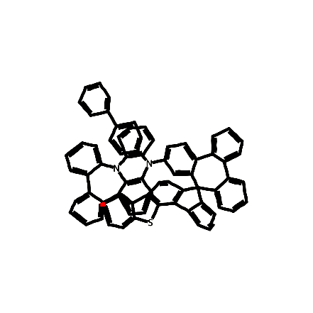 c1ccc(-c2ccc(N(c3ccc4c(c3)C3(c5ccccc5-c5ccccc5-4)c4ccccc4-c4c3ccc3c4sc4ccccc43)c3cccc4c3N(c3ccccc3)c3ccccc3-c3ccccc3-4)cc2)cc1